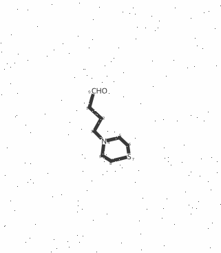 O=CCCCN1CCSCC1